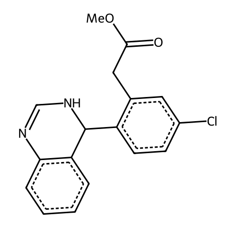 COC(=O)Cc1cc(Cl)ccc1C1NC=Nc2ccccc21